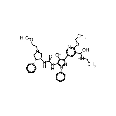 CCNC(O)c1cc(-c2nn(-c3ccccc3)c(NC(=O)N[C@@H]3CN(CCOC)C[C@H]3c3ccccc3)c2C)cnc1OCC